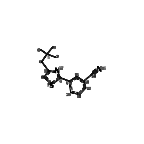 CC(C)(C)Cc1csc(-c2cccc(C#N)c2)n1